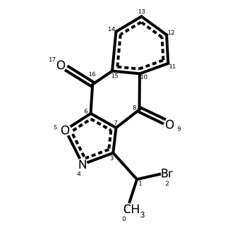 CC(Br)c1noc2c1C(=O)c1ccccc1C2=O